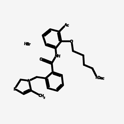 Br.CCCCCCCCCCCCCCOc1c(NC(=O)c2ccccc2CN2CSC=C2C)cccc1C(C)=O